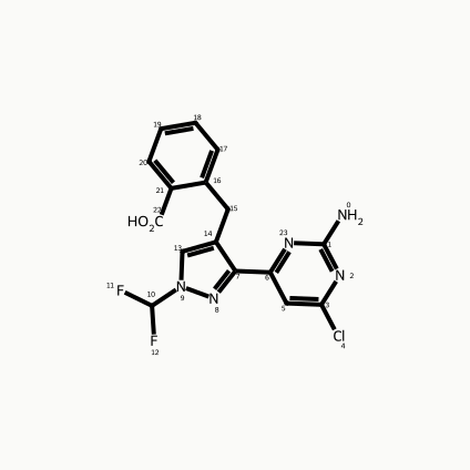 Nc1nc(Cl)cc(-c2nn(C(F)F)cc2Cc2ccccc2C(=O)O)n1